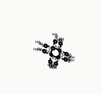 CC1c2cc(c(OCc3ccc(SOOO)cc3)cc2OCc2ccc(SOOO)cc2)C(C)c2cc(c(OCc3ccc(S(=O)(=O)O)cc3)cc2OCc2ccc(S(=O)(=O)O)cc2)C(C)c2cc(c(OCc3ccc(S(=O)(=O)O)cc3)cc2OCc2ccc(S(=O)(=O)O)cc2)C(C)c2cc1c(OCc1ccc(SOOO)cc1)cc2OCc1ccc(S(=O)(=O)O)cc1